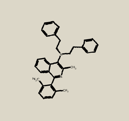 Cc1cccc(C)c1-c1nc(C)c(N(CCc2ccccc2)CCc2ccccc2)c2ccccc12